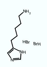 Br.Br.NCCCCCc1cnc[nH]1